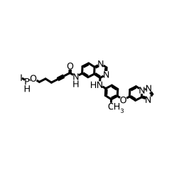 Cc1cc(Nc2ncnc3ccc(NC(=O)C#CCCCOPI)cc23)ccc1Oc1ccn2ncnc2c1